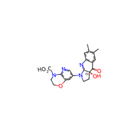 Cc1cc2c(cc1C)C(=O)[C@]1(O)CCN(c3cnc4c(c3)OCCN4C(=O)O)C1=N2